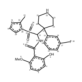 COc1cccc(O)c1C(=O)NC(C1(c2cccc(F)c2)CCNCC1)S(=O)(=O)n1ccnc1C